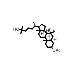 CC(=O)O[C@H]1CC[C@@]2(C)[C@H](C1)CC(F)(F)[C@@H]1[C@@H]2CC[C@]2(C)[C@@H]([C@H](C)CCCC(C)(C)O)CC[C@@H]12